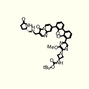 COc1nc(-c2cccc(-c3cccc(-c4ccn5c(=O)c(CNC[C@@H]6CCC(=O)N6)cnc5c4)c3Cl)c2Cl)cnc1N1CC(NC(=O)OC(C)(C)C)C1